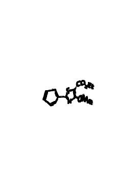 CCOC(=O)c1sc(-c2ccccc2)nc1OC